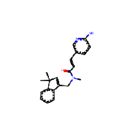 CN(CC1=CC(C)(C)c2ccccc21)C(=O)C=Cc1ccc(N)nc1